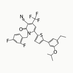 CCc1cc(OC(C)C)cc(-c2ccc(-c3cc(C(F)(F)F)c(C#N)c(=O)n3Cc3ccc(F)cc3F)s2)c1